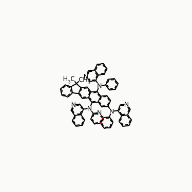 CC1(C)c2ccccc2-c2cc3c(N(c4ccccn4)c4cncc5ccccc45)c4cc(N(c5ccccc5)c5cncc6ccccc56)ccc4c(N(c4ccccc4)c4cncc5ccccc45)c3cc21